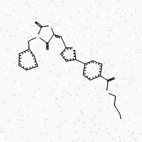 O=C(OCCCO)c1ccc(-c2ccc(/C=C3/SC(=S)N(Cc4ccccc4)C3=O)o2)cc1